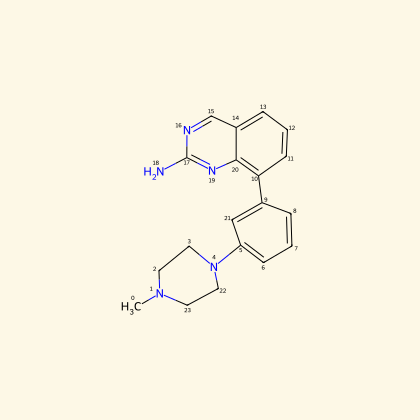 CN1CCN(c2cccc(-c3cccc4cnc(N)nc34)c2)CC1